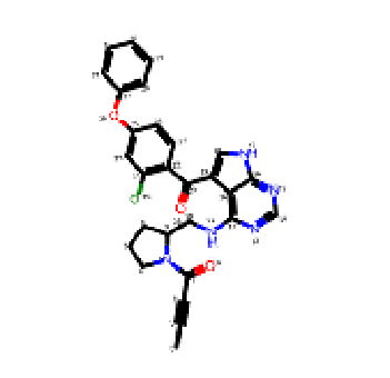 CC#CC(=O)N1CCCC1CNc1ncnc2[nH]cc(C(=O)c3ccc(Oc4ccccc4)cc3Cl)c12